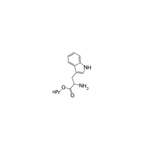 CCCOC(=O)C(N)Cc1c[nH]c2ccccc12